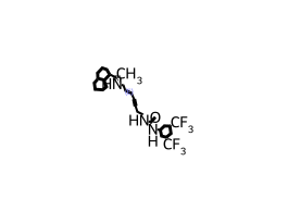 C[C@@H](NC/C=C/C#CCCNC(=O)Nc1cc(C(F)(F)F)cc(C(F)(F)F)c1)c1cccc2ccccc12